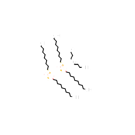 CCCCCCCCCCOP([O-])(=S)SCCCCCCCCCC.CCCCCCCCCCOP([O-])(=S)SCCCCCCCCCC.CCC[CH2][Sn+2][CH2]CCC